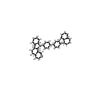 c1cc2c3c(cccc3c1)-c1cc(-c3ccc(-n4c5ccccc5c5ccc6ccncc6c54)cc3)ccc1-2